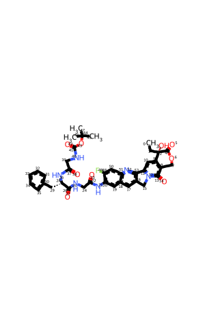 CC[C@@]1(O)C(=O)OCc2c1cc1n(c2=O)Cc2cc3cc(NC(=O)CNC(=O)[C@H](Cc4ccccc4)NC(=O)CNC(=O)OC(C)(C)C)c(F)cc3nc2-1